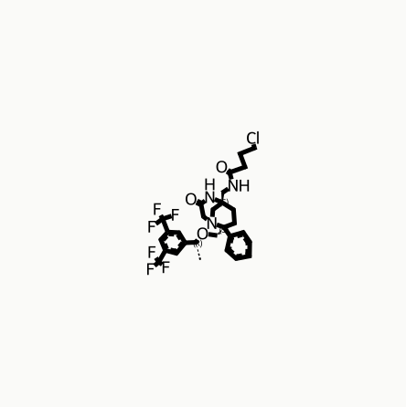 C[C@@H](OC[C@@]1(c2ccccc2)CC[C@]2(CNC(=O)CCCCl)CN1CC(=O)N2)c1cc(C(F)(F)F)cc(C(F)(F)F)c1